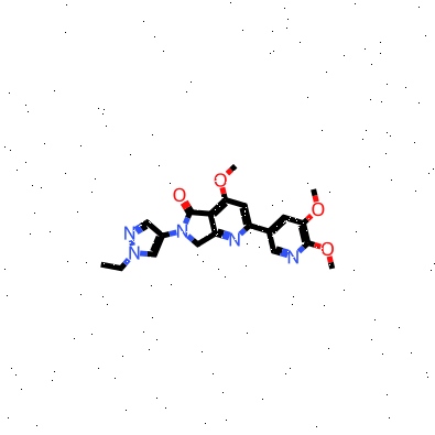 CCn1cc(N2Cc3nc(-c4cnc(OC)c(OC)c4)cc(OC)c3C2=O)cn1